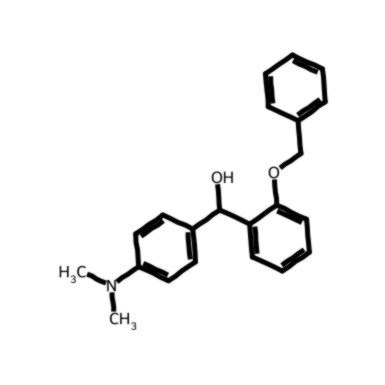 CN(C)c1ccc(C(O)c2ccccc2OCc2ccccc2)cc1